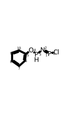 ClP=NPOc1ccccc1